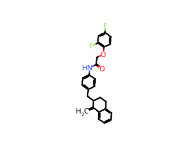 C=C1c2ccccc2CCC1Cc1ccc(NC(=O)COc2ccc(F)cc2F)cc1